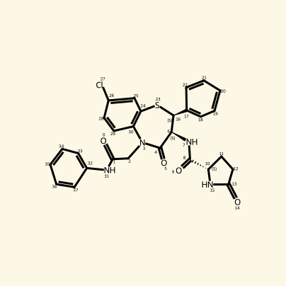 O=C(CN1C(=O)[C@H](NC(=O)[C@@H]2CCC(=O)N2)[C@H](c2ccccc2)Sc2cc(Cl)ccc21)Nc1ccccc1